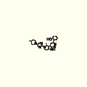 CC1CCN(c2cnc(N3CCc4[nH]c5nnc(-c6ccccc6O)cc5c4C3C)nc2)CC1